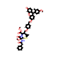 COOC(=O)/C(=C(\COc1ccc(COc2ccc3c(-c4ccc(OC)cc4C)c4ccc(=O)cc-4oc3c2)cc1)C1=CC1)N1C(=O)[C@](NC(=O)Cc2ccccc2)(OC)[C@H]1S